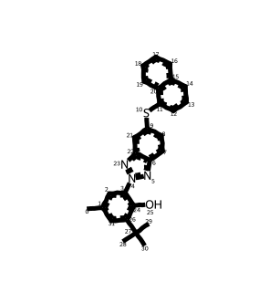 Cc1cc(-n2nc3ccc(Sc4cccc5ccccc45)cc3n2)c(O)c(C(C)(C)C)c1